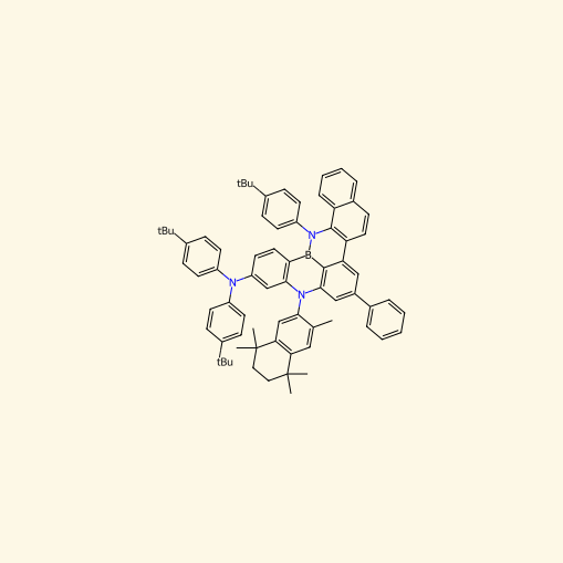 Cc1cc2c(cc1N1c3cc(N(c4ccc(C(C)(C)C)cc4)c4ccc(C(C)(C)C)cc4)ccc3B3c4c(cc(-c5ccccc5)cc41)-c1ccc4ccccc4c1N3c1ccc(C(C)(C)C)cc1)C(C)(C)CCC2(C)C